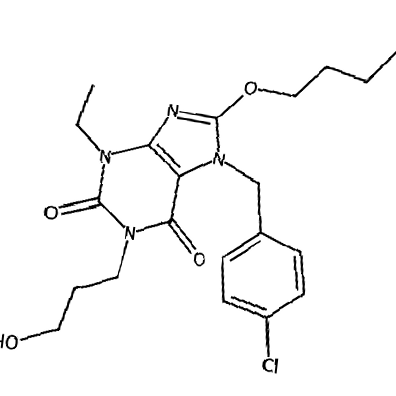 CCCCOc1nc2c(c(=O)n(CCCO)c(=O)n2CC)n1Cc1ccc(Cl)cc1